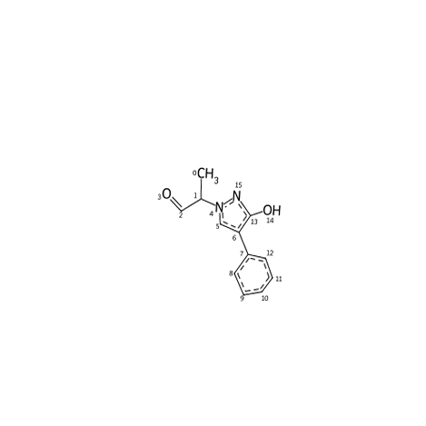 CC(C=O)n1cc(-c2ccccc2)c(O)n1